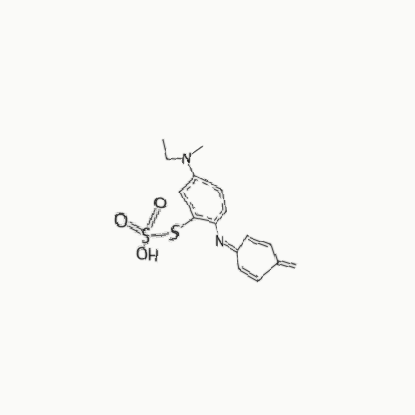 C=C1C=CC(=Nc2ccc(N(C)CC)cc2SS(=O)(=O)O)C=C1